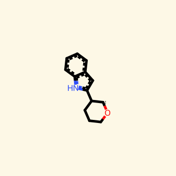 [C]1OCCCC1c1cc2ccccc2[nH]1